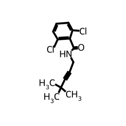 CC(C)(C)C#CCNC(=O)c1c(Cl)cccc1Cl